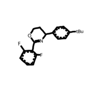 CC(C)(C)c1ccc(C2CCOC(c3c(F)cccc3F)=N2)cc1